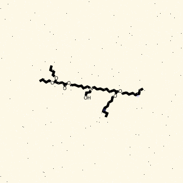 CC/C=C\CCCCOC(CCCCCCCN(CCO)CCCCCCOC(=O)CCC(OCCCC)OCCCC)OCCCC/C=C\CC